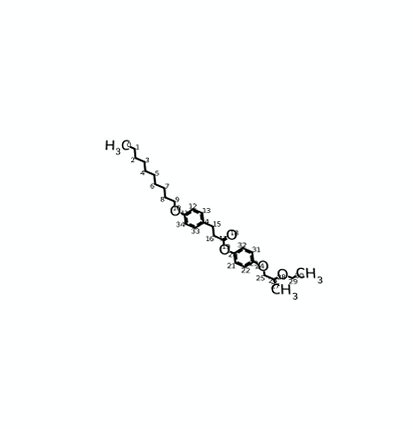 CCCCCCCCCCOc1ccc(CCC(=O)Oc2ccc(OCC(C)OCC)cc2)cc1